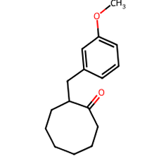 COc1cccc(CC2CCCCCCC2=O)c1